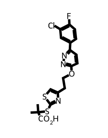 CC(C)(Sc1nc(CCOc2ccc(-c3ccc(F)c(Cl)c3)nn2)cs1)C(=O)O